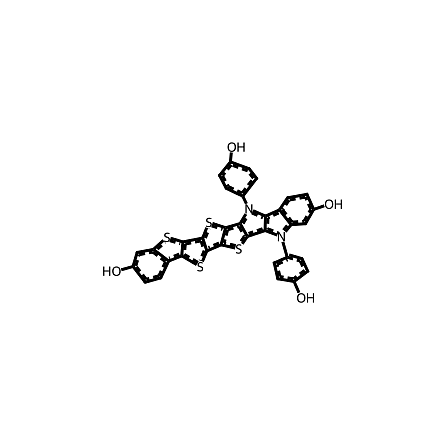 Oc1ccc(-n2c3cc(O)ccc3c3c2c2sc4c5sc6c7ccc(O)cc7sc6c5sc4c2n3-c2ccc(O)cc2)cc1